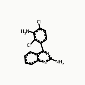 Nc1nc(-c2ccc(Cl)c(N)c2Cl)c2ccccc2n1